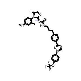 COc1ccc(N2C(=O)CS/C2=N\C(=S)NCCCc2ccc(-c3ncn(-c4ccc(OC(F)(F)F)cc4)n3)cc2)c(C)c1